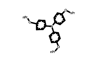 CCCOc1ccc(N(c2ccc(OCCC)cc2)c2ccc(OCCC)cc2)cc1